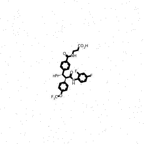 CCC[C@H](c1ccc(C(=O)NCCC(=O)O)cc1)[C@@H](C(=O)Nc1ccc(F)cc1F)c1ccc(OC(F)(F)F)cc1